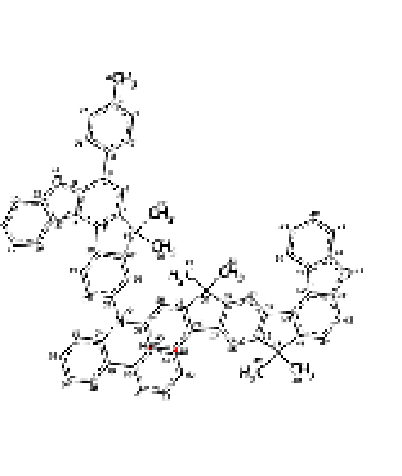 Cc1ccc(-c2cc3c(c4c2oc2ccccc24)-c2ccc(N(c4ccc5c(c4)C(C)(C)c4cc6c(cc4-5)C(C)(C)c4ccc5oc7ccccc7c5c4-6)c4ccccc4-c4ccccc4)cc2C3(C)C)cc1